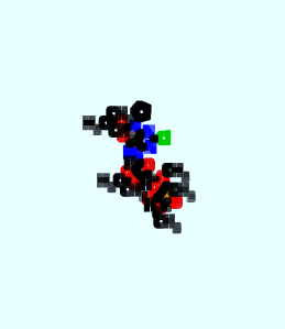 CCOC(=O)C(COC)(OC[C@H]1O[C@@H](n2ncc3c(N(C(=O)OC(C)(C)C)C4CCCC4)nc(Cl)nc32)[C@@H]2OC(C)(C)O[C@@H]21)P(C)(C)=O